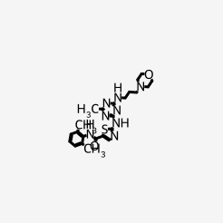 Cc1nc(NCCCN2CCOCC2)nc(Nc2ncc(C(=O)Nc3c(C)cccc3C)s2)n1